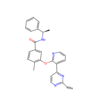 CNc1nccc(-c2cccnc2Oc2cc(C(=O)N[C@H](C)c3ccccc3)ccc2C)n1